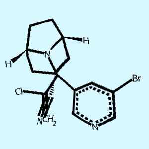 C=C(Cl)CN1[C@@H]2CC[C@H]1C[C@](C#N)(c1cncc(Br)c1)C2